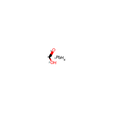 O=CO.[PbH4]